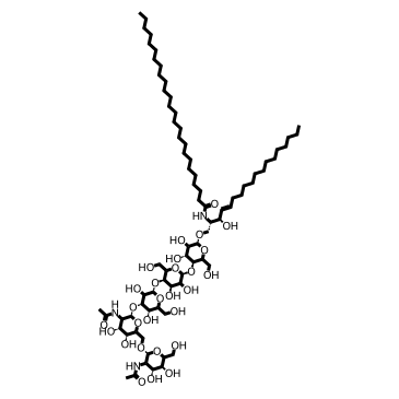 CCCCCCCCCCCCC/C=C/[C@@H](O)[C@H](CO[C@@H]1OC(CO)[C@@H](O[C@@H]2OC(CO)[C@H](O[C@@H]3OC(CO)[C@H](O)[C@H](O[C@@H]4OC(CO[C@@H]5OC(CO)[C@@H](O)[C@H](O)C5NC(C)=O)[C@H](O)[C@H](O)C4NC(C)=O)C3O)[C@H](O)C2O)[C@H](O)C1O)NC(=O)CCCCCCCCCCCCCCCCCCCCCCCCC